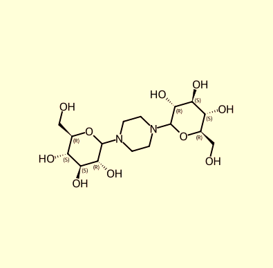 OC[C@H]1OC(N2CCN(C3O[C@H](CO)[C@@H](O)[C@H](O)[C@H]3O)CC2)[C@H](O)[C@@H](O)[C@@H]1O